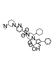 CN(C)C1CCCN(c2ccc(S(=O)(=O)N3CC(=O)N(c4cc(-c5ccccc5)sc4C(=O)O)[C@H](C4CCCCC4)C3)cn2)C1